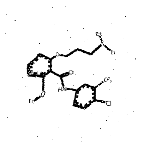 CCOc1cccc(OCCCN(CC)CC)c1C(=O)Nc1ccc(Cl)c(C(F)(F)F)c1